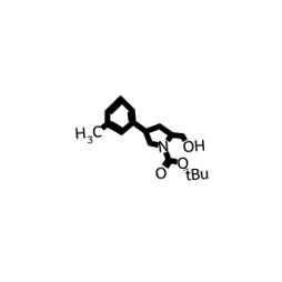 Cc1cccc(C2CC(CO)N(C(=O)OC(C)(C)C)C2)c1